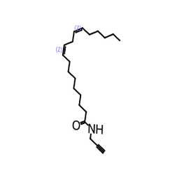 C#CCNC(=O)CCCCCCC/C=C\C/C=C\CCCCC